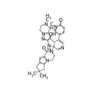 CN1CCn2nc(NC3(N4CCn5c(cc6c5CC(C)(C)C6)C4=O)C=NC=C(c4ccc(=O)n(C)c4)C3CO)cc2C1